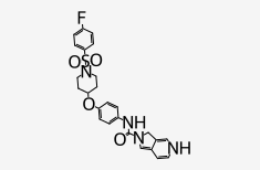 O=C(Nc1ccc(OC2CCN(S(=O)(=O)c3ccc(F)cc3)CC2)cc1)N1C=C2C=CNC=C2C1